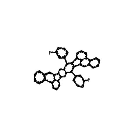 Fc1cccc(-c2c3cc4c(cc3c(-c3cccc(F)c3)c3c5cc6ccccc6c6cccc(c23)c65)c2cccc3c5ccccc5cc4c32)c1